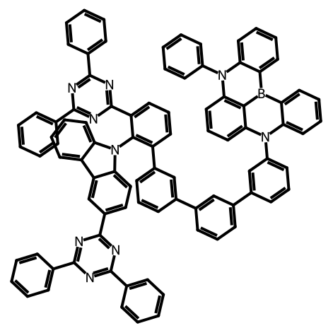 c1ccc(-c2nc(-c3ccccc3)nc(-c3ccc4c(c3)c3ccccc3n4-c3c(-c4cccc(-c5cccc(-c6cccc(N7c8ccccc8B8c9ccccc9N(c9ccccc9)c9cccc7c98)c6)c5)c4)cccc3-c3nc(-c4ccccc4)nc(-c4ccccc4)n3)n2)cc1